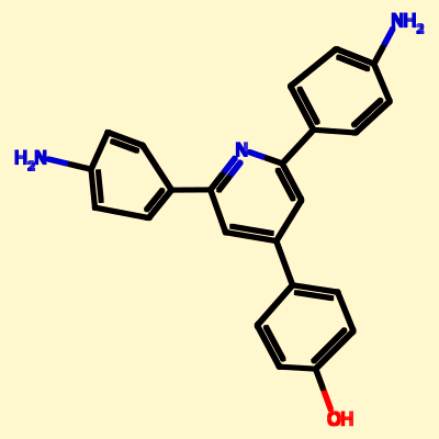 Nc1ccc(-c2cc(-c3ccc(O)cc3)cc(-c3ccc(N)cc3)n2)cc1